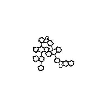 c1ccc(-c2ccc(-c3c4ccccc4c(-c4cccc5oc6ccc(-c7c8ccccc8c(-c8ccc9oc%10cc%11ccccc%11cc%10c9c8)c8ccccc78)cc6c45)c4ccccc34)c3ccccc23)cc1